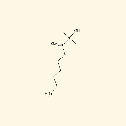 CC(C)(O)C(=O)CCCCCN